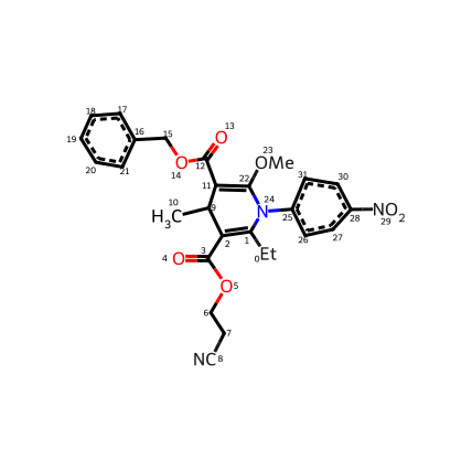 CCC1=C(C(=O)OCCC#N)C(C)C(C(=O)OCc2ccccc2)=C(OC)N1c1ccc([N+](=O)[O-])cc1